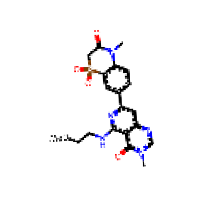 COCCNc1nc(-c2ccc3c(c2)S(=O)(=O)CC(=O)N3C)cc2ncn(C)c(=O)c12